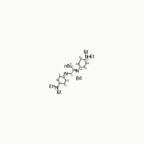 CCCCC(/C=N/c1ccc(N(CC)CC)cc1)=N\c1ccc(N(CC)CC)cc1.[Pd]